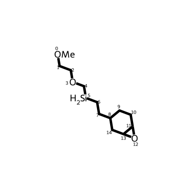 COCCOC[SiH2]CCC1CCC2OC2C1